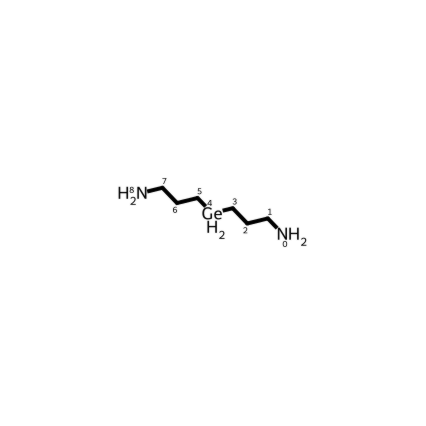 NCC[CH2][GeH2][CH2]CCN